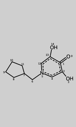 O=c1c(O)cn(CC2CCCC2)cc1O